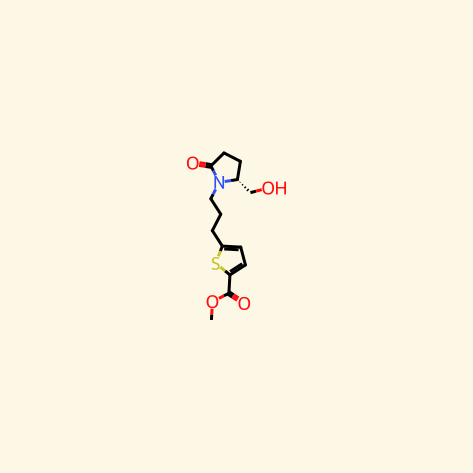 COC(=O)c1ccc(CCCN2C(=O)CC[C@@H]2CO)s1